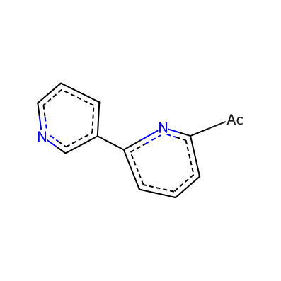 CC(=O)c1cccc(-c2cccnc2)n1